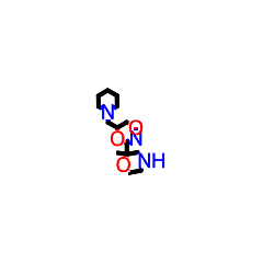 CC1(C2=NOCC(CN3CCCCC3)O2)CNCCO1